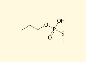 CCCOP(=O)(O)SC